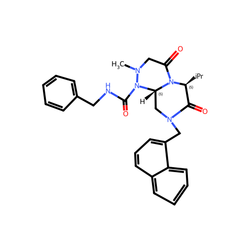 CC(C)[C@H]1C(=O)N(Cc2cccc3ccccc23)C[C@H]2N1C(=O)CN(C)N2C(=O)NCc1ccccc1